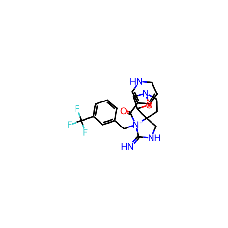 N=C1NCC2(CCN3CC2O3)[N+]1(Cc1cccc(C(F)(F)F)c1)C(=O)C1=CNCC=C1